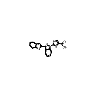 O=C(O)c1csc(-n2nc(-c3cc4ccccc4o3)c3ccccc32)n1